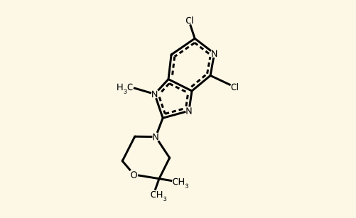 Cn1c(N2CCOC(C)(C)C2)nc2c(Cl)nc(Cl)cc21